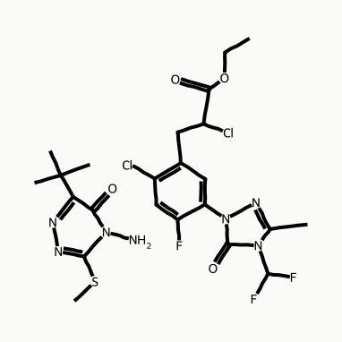 CCOC(=O)C(Cl)Cc1cc(-n2nc(C)n(C(F)F)c2=O)c(F)cc1Cl.CSc1nnc(C(C)(C)C)c(=O)n1N